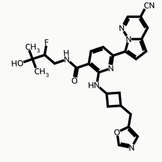 CC(C)(O)C(F)CNC(=O)c1ccc(-c2ccc3cc(C#N)cnn23)nc1NC1CC(Cc2cnco2)C1